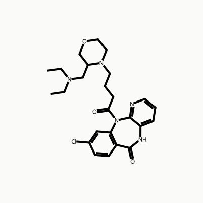 CCN(CC)CC1COCCN1CCCC(=O)N1c2cc(Cl)ccc2C(=O)Nc2cccnc21